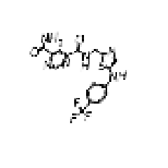 NC(=O)c1cc(C(=O)NCc2ncc(Nc3ccc(C(F)(F)F)cc3)s2)ncn1